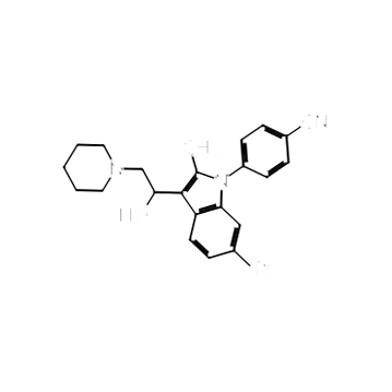 Cc1c(C(O)CN2CCCCC2)c2ccc(C(C)C)cc2n1-c1ccc(C#N)cc1